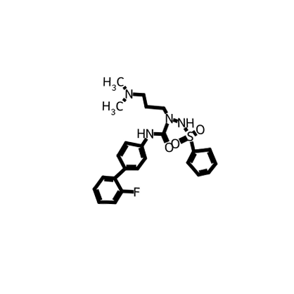 CN(C)CCCN(NS(=O)(=O)c1ccccc1)C(=O)Nc1ccc(-c2ccccc2F)cc1